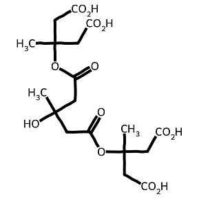 CC(O)(CC(=O)OC(C)(CC(=O)O)CC(=O)O)CC(=O)OC(C)(CC(=O)O)CC(=O)O